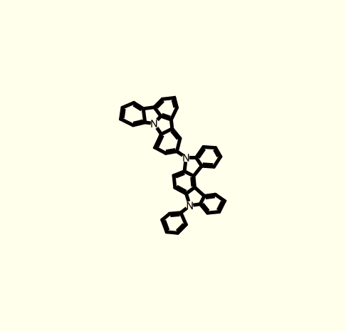 c1ccc(-n2c3ccccc3c3c4c5ccccc5n(-c5ccc6c(c5)c5cccc7c8ccccc8n6c75)c4ccc32)cc1